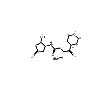 CC(C)(C)C[C@H](OC(=O)N[C@H]1CC(=O)OC1O)C(=O)N1CCOCC1